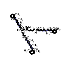 C=C1CCCC(C)=C1/C=C/C(C)=C/C=C/C(C)=C/C(=O)N[C@H](CCCCNC(=O)/C=C(C)/C=C/C=C(C)/C=C/C1=C(C)CCCC1(C)C)C(=O)N[C@H](CCCCNC(=O)/C=C(C)/C=C/C=C(C)/C=C/C1=C(C)CCCC1(C)C)C(N)=O